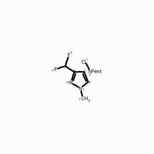 CCCCCCl.Cn1ccc(C(F)F)n1